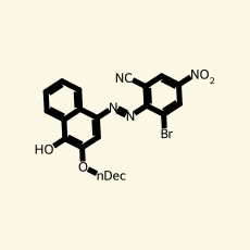 CCCCCCCCCCOc1cc(/N=N/c2c(Br)cc([N+](=O)[O-])cc2C#N)c2ccccc2c1O